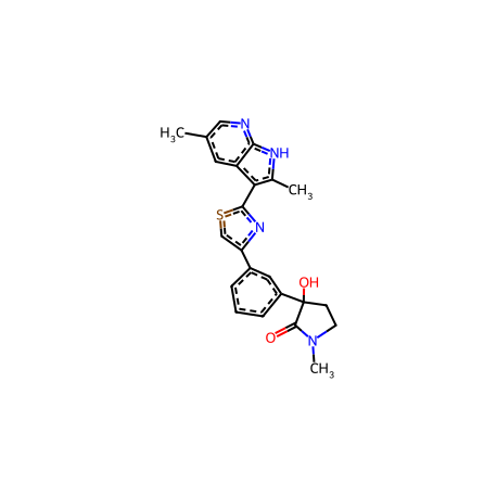 Cc1cnc2[nH]c(C)c(-c3nc(-c4cccc(C5(O)CCN(C)C5=O)c4)cs3)c2c1